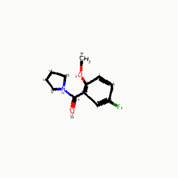 COc1ccc(F)cc1C(=O)N1CCCC1